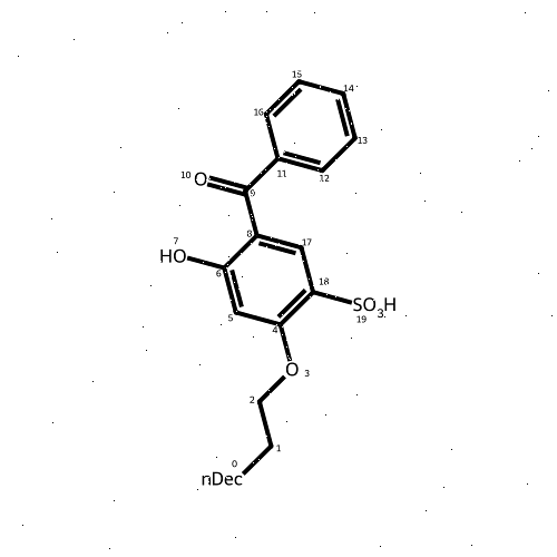 CCCCCCCCCCCCOc1cc(O)c(C(=O)c2ccccc2)cc1S(=O)(=O)O